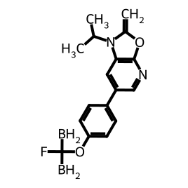 BC(B)(F)Oc1ccc(-c2cnc3c(c2)N(C(C)C)C(=C)O3)cc1